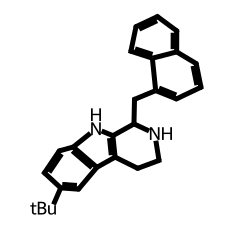 CC(C)(C)c1ccc2[nH]c3c(c2c1)CCNC3Cc1cccc2ccccc12